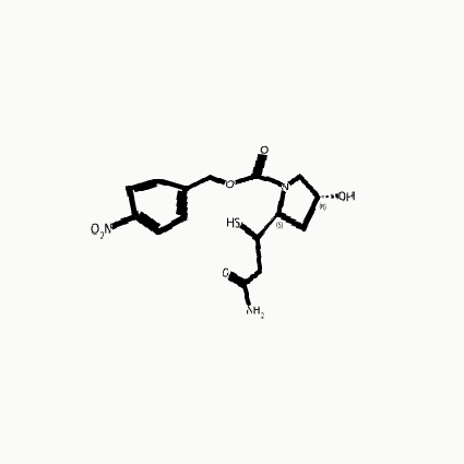 NC(=O)CC(S)[C@@H]1C[C@@H](O)CN1C(=O)OCc1ccc([N+](=O)[O-])cc1